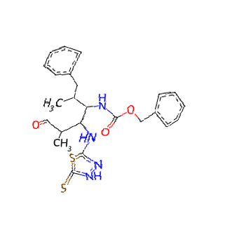 CC(C=O)C(Nc1n[nH]c(=S)s1)C(NC(=O)OCc1ccccc1)C(C)Cc1ccccc1